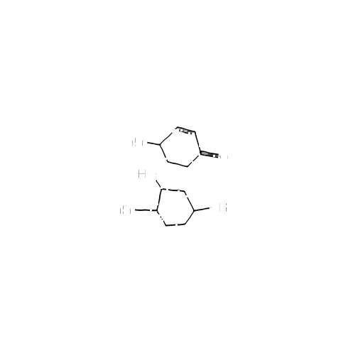 CC(C)C1C=CC(=O)CC1.CC1CCC(C(C)C)C(O)C1